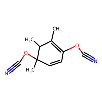 CC1=C(OC#N)C=CC(C)(OC#N)C1C